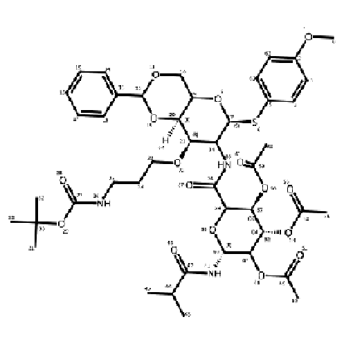 COc1ccc(S[C@@H]2OC3COC(c4ccccc4)O[C@@H]3[C@H](OCCCNC(=O)OC(C)(C)C)C2NC(=O)C2O[C@@H](NC(=O)C(C)C)C(OC(C)=O)[C@@H](OC(C)=O)[C@@H]2OC(C)=O)cc1